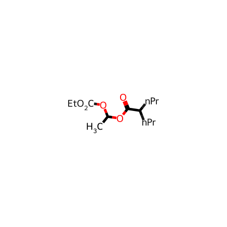 CCCC(CCC)C(=O)OC(C)OC(=O)OCC